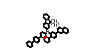 CC1(C)c2ccccc2-c2ccc(N(c3ccc(-c4ccc(-c5ccccc5)cc4)cc3)c3cc(-c4ccc5ccccc5c4)ccc3-c3ccccc3)cc21